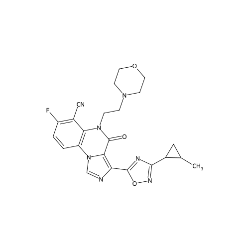 CC1CC1c1noc(-c2ncn3c2c(=O)n(CCN2CCOCC2)c2c(C#N)c(F)ccc23)n1